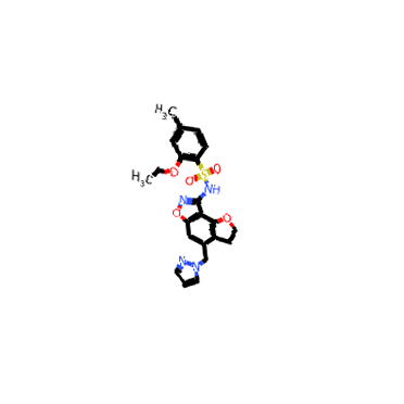 CCOc1cc(C)ccc1S(=O)(=O)Nc1noc2cc(Cn3cccn3)c3c(c12)OCC3